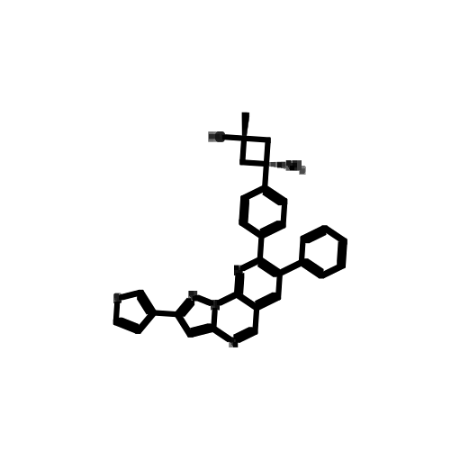 C[C@]1(O)C[C@](N)(c2ccc(-c3nc4c(cnc5cc(-c6ccsc6)nn54)cc3-c3ccccc3)cc2)C1